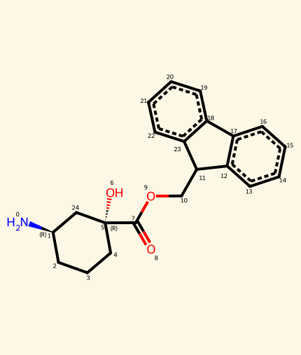 N[C@@H]1CCC[C@](O)(C(=O)OCC2c3ccccc3-c3ccccc32)C1